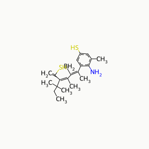 BC(/C(C)=C(\C(=C)S)C(C)(C)CC)=C(/C)c1cc(S)cc(C)c1N